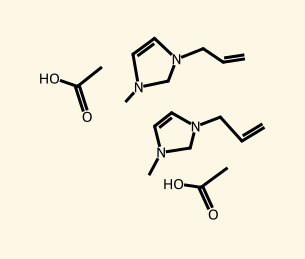 C=CCN1C=CN(C)C1.C=CCN1C=CN(C)C1.CC(=O)O.CC(=O)O